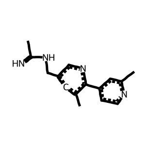 CC(=N)NCc1cnc(-c2ccnc(C)c2)c(C)c1